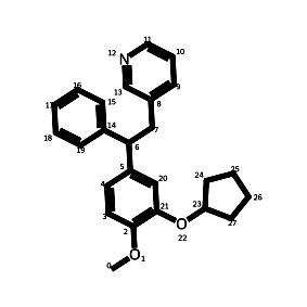 COc1ccc(C(Cc2cccnc2)c2ccccc2)cc1OC1CCCC1